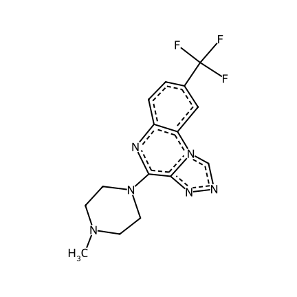 CN1CCN(c2nc3ccc(C(F)(F)F)cc3n3cnnc23)CC1